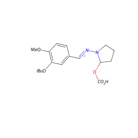 COc1ccc(/C=N/N2CCCC2OC(=O)O)cc1OCC(C)C